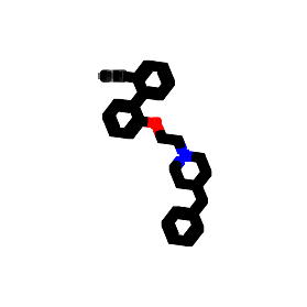 O=[C]c1ccccc1-c1ccccc1OCCN1CCC(Cc2ccccc2)CC1